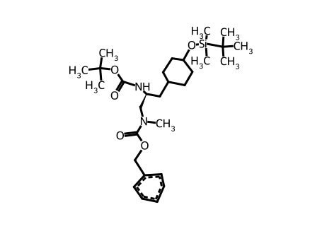 CN(C[C@H](CC1CCC(O[Si](C)(C)C(C)(C)C)CC1)NC(=O)OC(C)(C)C)C(=O)OCc1ccccc1